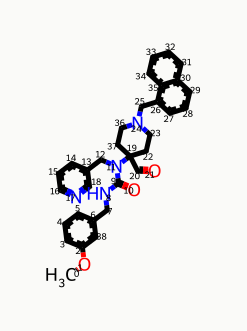 COc1cccc(CNC(=O)N(Cc2cccnc2)C2(C=O)CCN(Cc3cccc4ccccc34)CC2)c1